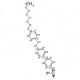 CCCCCCCCc1ccc(CCc2ccc(-c3ccc(OC(F)F)cc3)cc2)cc1